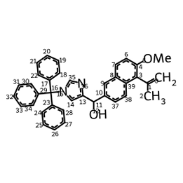 C=C(C)c1c(OC)ccc2cc(C(O)c3cn(C(c4ccccc4)(c4ccccc4)c4ccccc4)cn3)ccc12